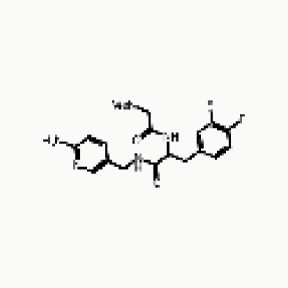 CNCC(=O)NC(Cc1ccc(F)c(F)c1)C(=O)NCc1ccc(N)nc1